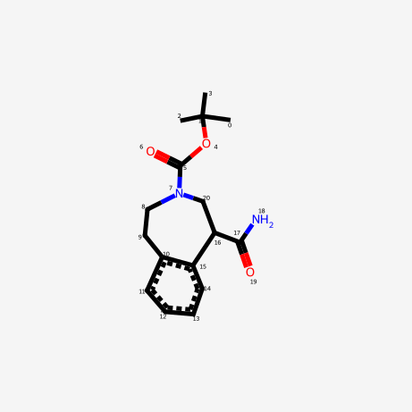 CC(C)(C)OC(=O)N1CCc2c[c]ccc2C(C(N)=O)C1